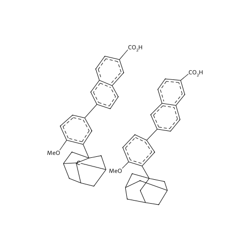 COc1ccc(-c2ccc3cc(C(=O)O)ccc3c2)cc1C12CC3CC(CC(C3)C1)C2.COc1ccc(-c2ccc3cc(C(=O)O)ccc3c2)cc1C12CC3CC(CC(C3)C1)C2